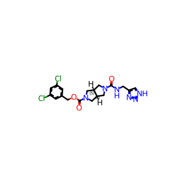 O=C(NCc1c[nH]nn1)N1C[C@@H]2CN(C(=O)OCc3cc(Cl)cc(Cl)c3)C[C@@H]2C1